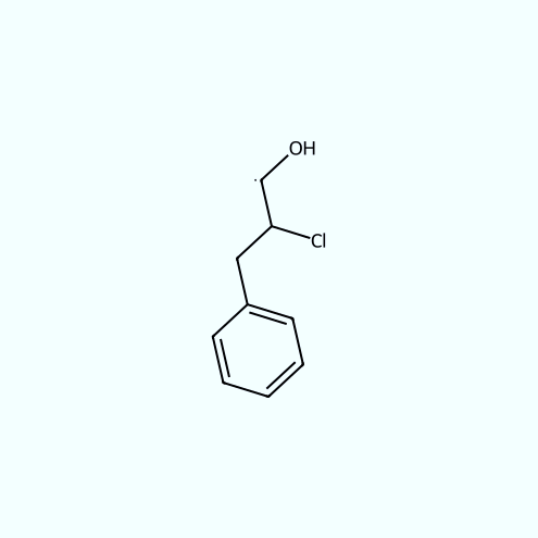 O[CH]C(Cl)Cc1ccccc1